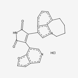 Cl.O=C1NC(=O)C(c2cncc3ccoc23)=C1c1cn2c3c(cccc13)CCCC2